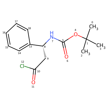 CC(C)(C)OC(=O)N[C@H](CC(=O)Cl)c1ccccc1